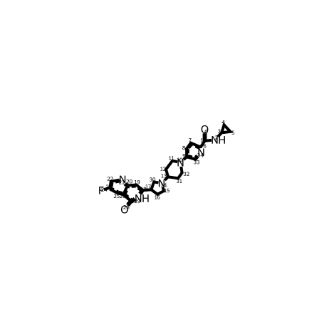 O=C(NC1CC1)c1ccc(N2CCC(N3CCC(c4cc5ncc(F)cc5c(=O)[nH]4)C3)CC2)cn1